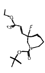 CCOC(=O)C=CC1(F)CCCN(C(=O)OC(C)(C)C)C1